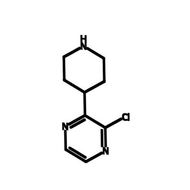 Clc1nccnc1C1CCNCC1